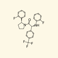 O=C([C@@H](Nc1ccccc1F)c1ccc(C(F)(F)F)cc1)N1CCC[C@H]1c1ccccc1F